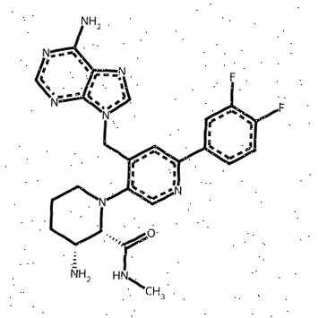 CNC(=O)[C@@H]1[C@H](N)CCCN1c1cnc(-c2ccc(F)c(F)c2)cc1Cn1cnc2c(N)ncnc21